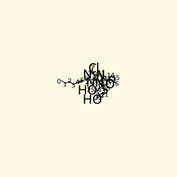 CCCCC#Cc1nc(Cl)c2nc(-c3ccco3)n([C@@H]3SC[C@@H](O)[C@H]3O)c2n1